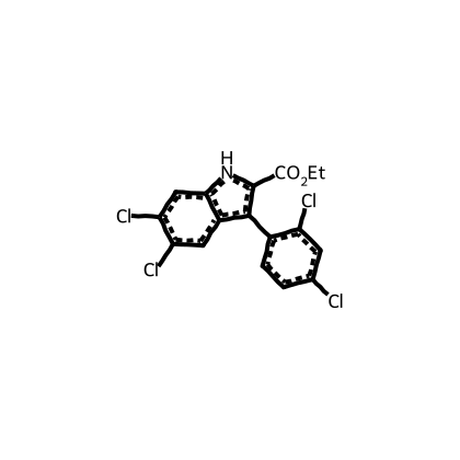 CCOC(=O)c1[nH]c2cc(Cl)c(Cl)cc2c1-c1ccc(Cl)cc1Cl